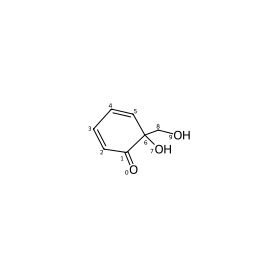 O=C1C=CC=CC1(O)CO